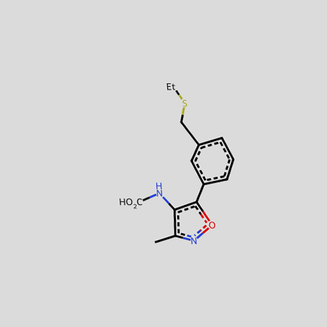 CCSCc1cccc(-c2onc(C)c2NC(=O)O)c1